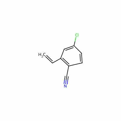 C=Cc1cc(Cl)ccc1C#N